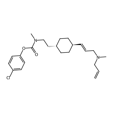 C=CCN(C)CC=C[C@H]1CC[C@H](CCN(C)C(=O)Oc2ccc(Cl)cc2)CC1